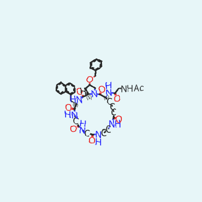 CC(=O)NCC(=O)N[C@H]1CCCC(=O)NCCNC(=O)CNC(=O)CNC(=O)[C@@H](Cc2cccc3ccccc23)NC(=O)[C@@H]2CC(OCc3ccccc3)CN2C1=O